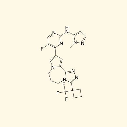 Cn1nccc1Nc1ncc(F)c(-c2cc3n(c2)CCCn2c-3nnc2C2(C(F)(F)F)CCC2)n1